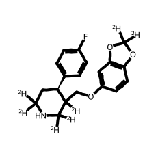 [2H]C1([2H])C[C@@H](c2ccc(F)cc2)C([2H])(COc2ccc3c(c2)OC([2H])([2H])O3)C([2H])([2H])N1